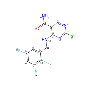 NC(=O)c1cnc(Cl)nc1NCc1cc(F)cc(F)c1F